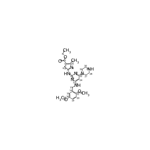 CCOC(=O)c1sc(Nc2nc(NCc3cc(OC)ccc3OC)cc(N3CCNCC3)n2)nc1C